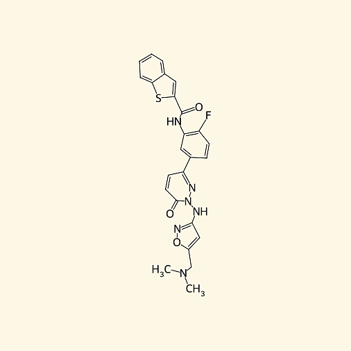 CN(C)Cc1cc(Nn2nc(-c3ccc(F)c(NC(=O)c4cc5ccccc5s4)c3)ccc2=O)no1